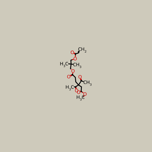 C=CC(=O)OCC(C)(C)COC(=O)CCC(CC(=O)OC)(C(C)=O)C(C)=O